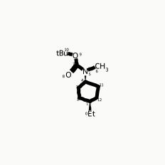 CC[C@H]1CC[C@H](N(C)C(=O)OC(C)(C)C)CC1